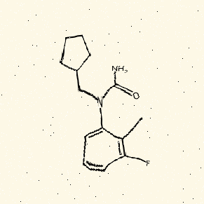 Cc1c(F)cccc1N(CC1CCCC1)C(N)=O